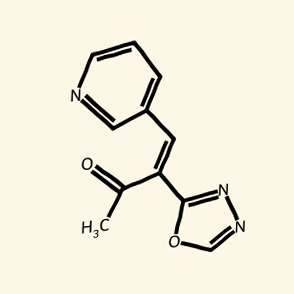 CC(=O)C(=Cc1cccnc1)c1nnco1